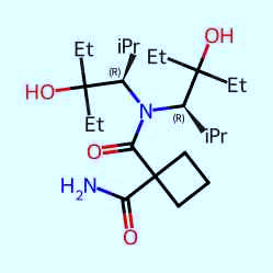 CCC(O)(CC)[C@@H](C(C)C)N(C(=O)C1(C(N)=O)CCC1)[C@H](C(C)C)C(O)(CC)CC